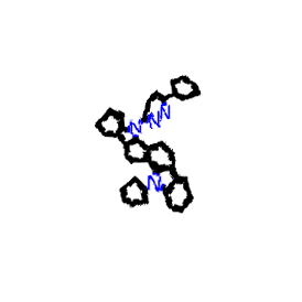 c1ccc(-c2ccc(-n3c4ccccc4c4ccc5c(ccc6c7ccccc7n(-c7ccccc7)c65)c43)nn2)cc1